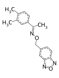 C/C(=N\OCc1ccc2nonc2c1)c1ccc(C)c(C)c1